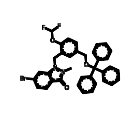 Cn1c(=O)c2ccc(Br)cc2n1Cc1cc(COC(c2ccccc2)(c2ccccc2)c2ccccc2)ccc1OC(F)F